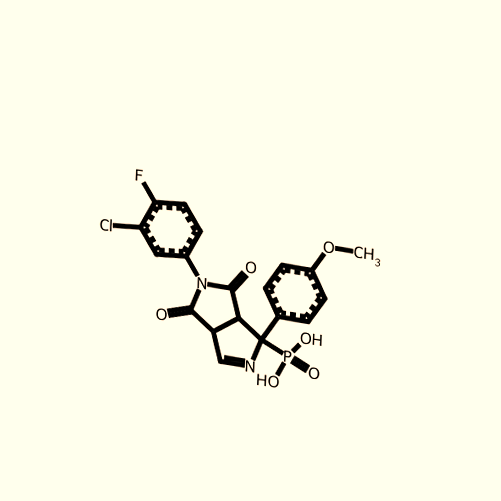 COc1ccc(C2(P(=O)(O)O)N=CC3C(=O)N(c4ccc(F)c(Cl)c4)C(=O)C32)cc1